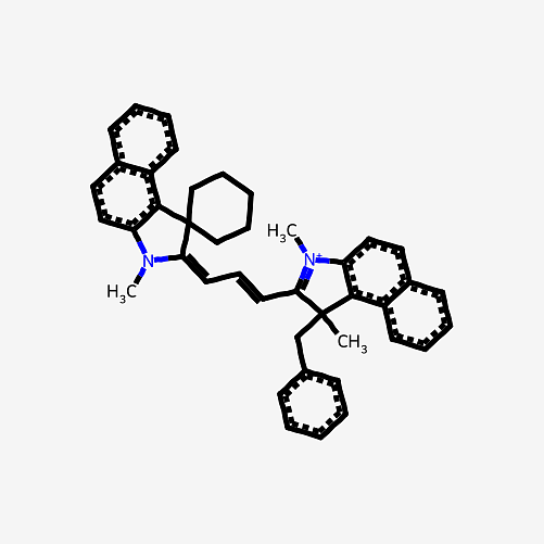 CN1/C(=C/C=C/C2=[N+](C)c3ccc4ccccc4c3C2(C)Cc2ccccc2)C2(CCCCC2)c2c1ccc1ccccc21